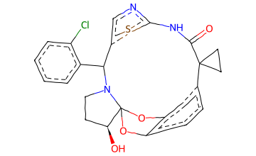 O=C1Nc2ncc(s2)C(c2ccccc2Cl)N2CC[C@H](O)C23Oc2ccc(cc2O3)C12CC2